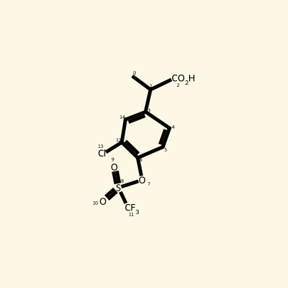 CC(C(=O)O)c1ccc(OS(=O)(=O)C(F)(F)F)c(Cl)c1